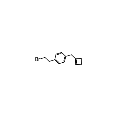 BrCCc1ccc(CC2=CCC2)cc1